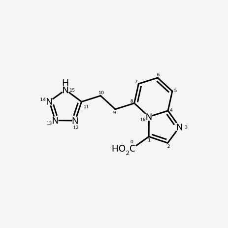 O=C(O)c1cnc2cccc(CCc3nnn[nH]3)n12